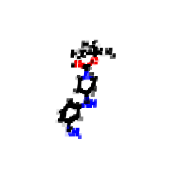 CC(C)(C)OC(=O)N1CCC(Nc2cccc(N)c2)CC1